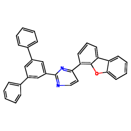 c1ccc(-c2cc(-c3ccccc3)cc(-c3nccc(-c4cccc5c4oc4ccccc45)n3)c2)cc1